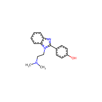 CN(C)CCn1c(-c2ccc(O)cc2)nc2ccccc21